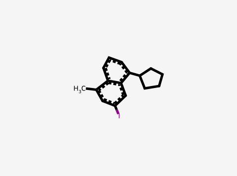 Cc1cc(I)cc2c(C3CCCC3)cccc12